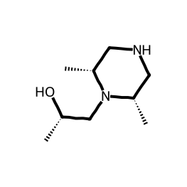 C[C@H](O)CN1[C@H](C)CNC[C@@H]1C